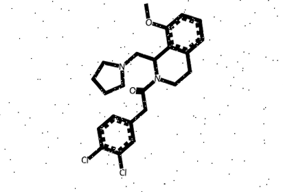 COc1cccc2c1C(CN1CCCC1)N(C(=O)Cc1ccc(Cl)c(Cl)c1)CC2